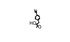 CC(=O)[C@H](O)Cc1ccc(C#N)cc1